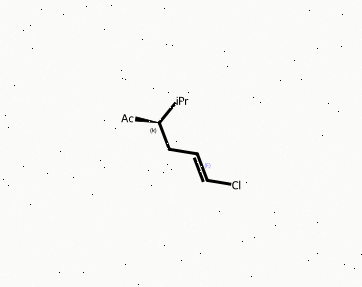 CC(=O)[C@H](C/C=C/Cl)C(C)C